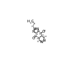 CCCn1nc2c(n1)C(=O)c1cnncc1C2=O